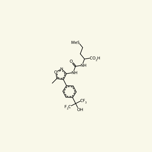 CSCCC(NC(=O)Nc1noc(C)c1-c1ccc(C(O)(C(F)(F)F)C(F)(F)F)cc1)C(=O)O